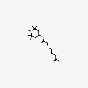 CC(=N)CCCSCC(=O)NC1CC(C)(C)N(C)C(C)(C)C1